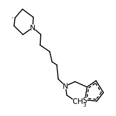 CCN(CCCCCCN1CC[CH]CC1)Cc1cccs1